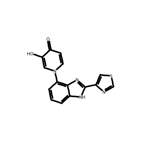 O=c1ccn(-c2cccc3[nH]c(-c4cscn4)nc23)cc1O